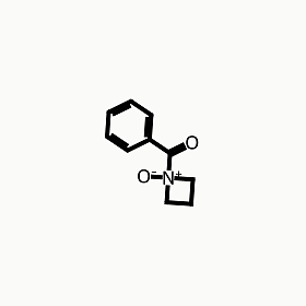 O=C(c1ccccc1)[N+]1([O-])CCC1